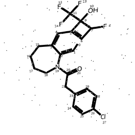 C/C=C1\C(=C/C2=CC(F)C2(O)C(F)(F)F)CCCCN1C(=O)Cc1ccc(Cl)cc1